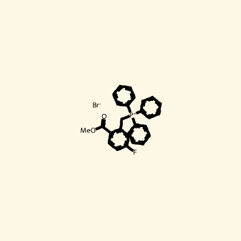 COC(=O)c1ccc(F)cc1C[P+](c1ccccc1)(c1ccccc1)c1ccccc1.[Br-]